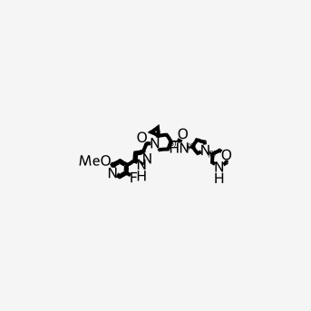 COc1cc(-c2cc(C(=O)N3CC[C@H](C(=O)N[C@H]4CCN([C@@H]5CNCOC5)C4)CC34CC4)n[nH]2)c(F)cn1